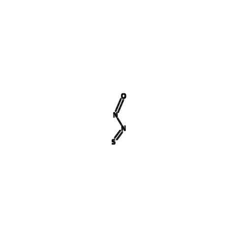 O=NN=S